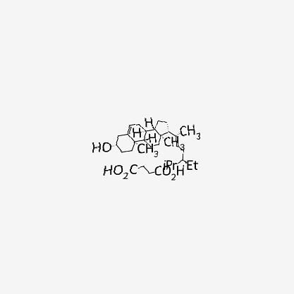 CC[C@H](CC[C@@H](C)[C@H]1CC[C@H]2[C@@H]3CC=C4C[C@@H](O)CC[C@]4(C)[C@H]3CC[C@]12C)C(C)C.O=C(O)CCC(=O)O